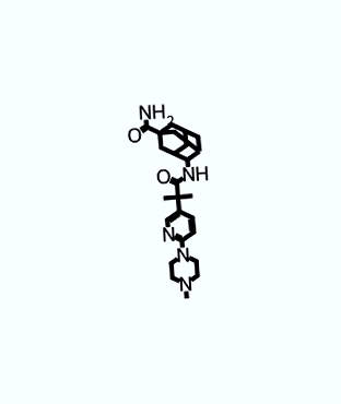 CN1CCN(c2ccc(C(C)(C)C(=O)NC3C4CC5CC3CC(C(N)=O)(C5)C4)cn2)CC1